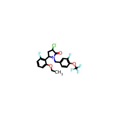 CCOc1cccc(F)c1C1CC(Cl)C(=O)N1Cc1ccc(OC(F)(F)F)c(F)c1